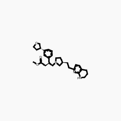 COC(=O)C[C@H](CN1CC[C@@H](CCc2ccc3c(n2)NCCC3)C1)c1cccc([C@@H]2CCOC2)c1